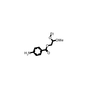 CCOC(COC(=O)c1ccc(N)cc1)OC